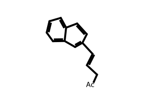 CC(=O)CC=Cc1ccc2ccccc2c1